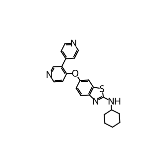 c1cc(-c2cnccc2Oc2ccc3nc(NC4CCCCC4)sc3c2)ccn1